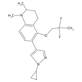 CC1CCc2c(ccc(-c3cnn(C4CC4)c3)c2OCC(C)(F)F)N1C